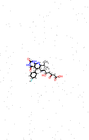 CC(C)c1nc2[nH]c(=O)[nH]c(=O)c2c(-c2ccc(F)cc2)c1/C=C/C(O)CC(=O)CC(=O)O